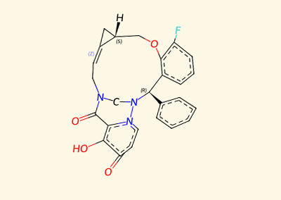 O=C1c2c(O)c(=O)ccn2N2CN1C/C=C1/C[C@@H]1COc1c(F)cccc1[C@H]2c1ccccc1